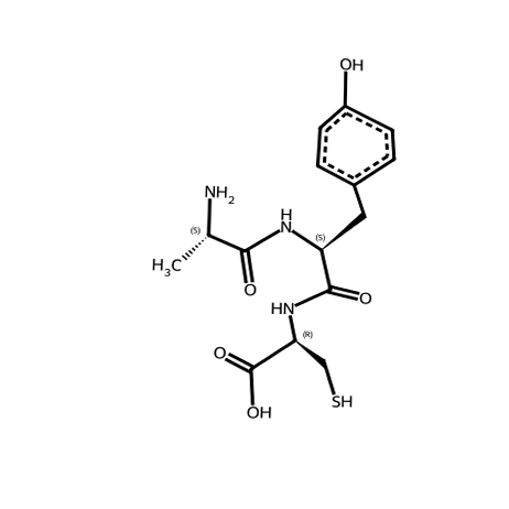 C[C@H](N)C(=O)N[C@@H](Cc1ccc(O)cc1)C(=O)N[C@@H](CS)C(=O)O